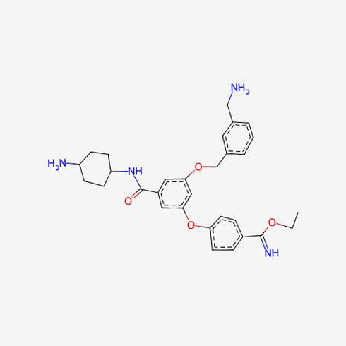 CCOC(=N)c1ccc(Oc2cc(OCc3cccc(CN)c3)cc(C(=O)NC3CCC(N)CC3)c2)cc1